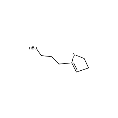 CCCCCCCC1=CCC[N]1